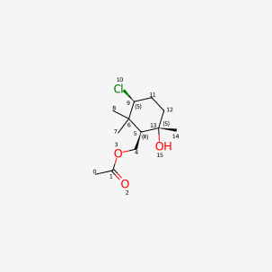 CC(=O)OC[C@H]1C(C)(C)[C@@H](Cl)CC[C@]1(C)O